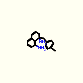 Cc1ccc(CC2(N)CC=Cc3cccc(N)c32)cc1